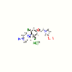 Cl.OC1CCN(CCOc2cc(F)c(N3CCNCC3)c(F)c2)C1